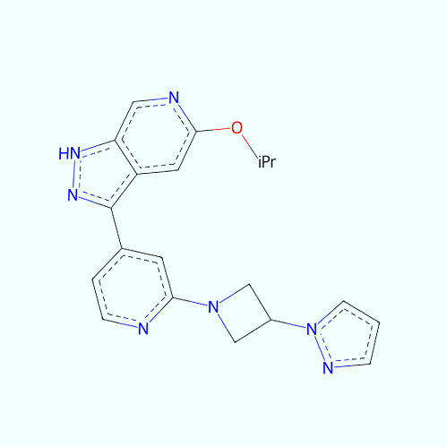 CC(C)Oc1cc2c(-c3ccnc(N4CC(n5cccn5)C4)c3)n[nH]c2cn1